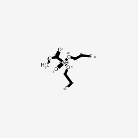 COC(=O)[SH](=O)(OCCF)OCCF